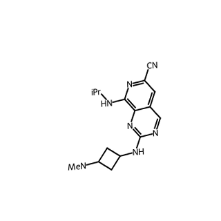 CNC1CC(Nc2ncc3cc(C#N)nc(NC(C)C)c3n2)C1